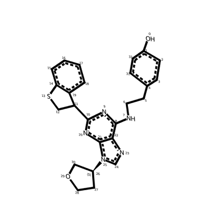 Oc1ccc(CCNc2nc(C3CSc4ccccc43)nc3c2ncn3[C@H]2CCOC2)cc1